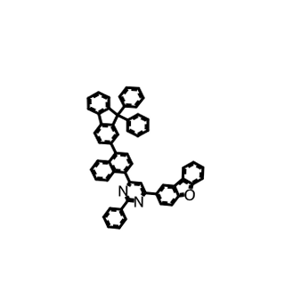 c1ccc(-c2nc(-c3ccc4oc5ccccc5c4c3)cc(-c3ccc(-c4ccc5c(c4)C(c4ccccc4)(c4ccccc4)c4ccccc4-5)c4ccccc34)n2)cc1